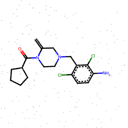 C=C1CN(Cc2c(Cl)ccc(N)c2Cl)CCN1C(=O)C1CCCC1